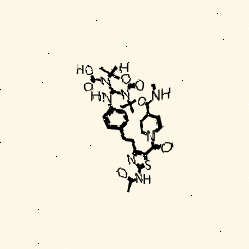 CNC(=O)C1CCN(C(=O)c2sc(NC(C)=O)nc2CCc2ccc(NC(N(C(=O)O)C(C)(C)C)N(C(=O)O)C(C)(C)C)cc2)CC1